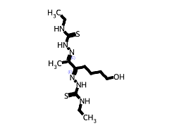 CCNC(=S)N/N=C(C)/C(CCCCO)=N/NC(=S)NCC